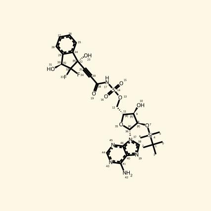 CC(C)(C)[Si](C)(C)O[C@@H]1[C@H](O)[C@@H](COS(=O)(=O)NC(=O)C#C[C@]2(O)c3ccccc3[C@H](O)C2(F)F)O[C@H]1n1cnc2c(N)ncnc21